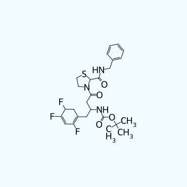 CC(C)(C)OC(=O)NC(CC(=O)N1CCSC1C(=O)NCc1ccccc1)CC1=C(F)C=C(F)C(F)C1